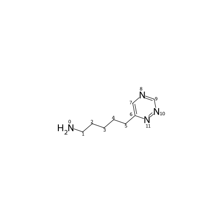 NCCCCCc1cncnn1